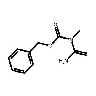 C=C(N)N(C)C(=O)OCc1ccccc1